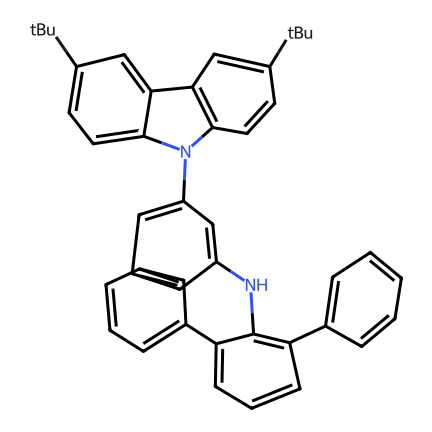 CC(C)(C)c1ccc2c(c1)c1cc(C(C)(C)C)ccc1n2-c1cccc(Nc2c(-c3ccccc3)cccc2-c2ccccc2)c1